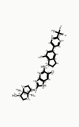 O[C@@H]1CO[C@H]2[C@@H]1OC[C@H]2Oc1nc2nc(N[C@H]3CCc4cc(-c5cnc(C(F)(F)F)nc5)cc(F)c43)c(Cl)cc2[nH]1